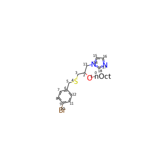 CCCCCCCCOC(CSCc1ccc(Br)cc1)Cn1ccnc1